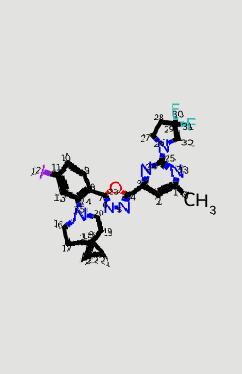 Cc1cc(-c2nnc(-c3ccc(I)cc3N3CCC4(CC3)CC4)o2)nc(N2CCC(F)(F)C2)n1